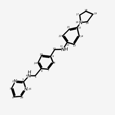 c1cnc(NCc2ccc(CNc3ccc(N4CCCC4)cc3)cc2)nc1